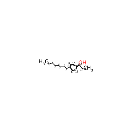 CCCCCCCCc1ccc(C(O)CC)cc1